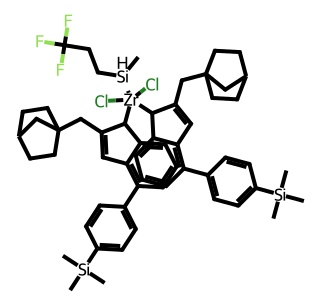 C[SiH](CCC(F)(F)F)[Zr]([Cl])([Cl])([CH]1C(CC23CCC(CC2)C3)=Cc2c(-c3ccc([Si](C)(C)C)cc3)cccc21)[CH]1C(CC23CCC(CC2)C3)=Cc2c(-c3ccc([Si](C)(C)C)cc3)cccc21